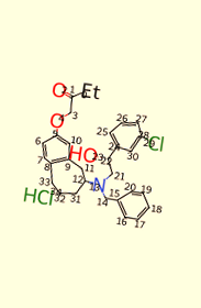 CCC(=O)COc1ccc2c(c1)C[C@@H](N(Cc1ccccc1)C[C@H](O)c1cccc(Cl)c1)CCC2.Cl